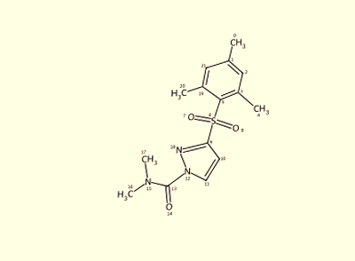 Cc1cc(C)c(S(=O)(=O)c2ccn(C(=O)N(C)C)n2)c(C)c1